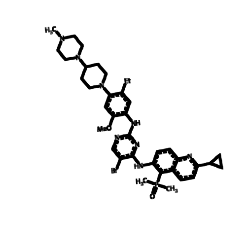 CCc1cc(Nc2ncc(Br)c(Nc3ccc4nc(C5CC5)ccc4c3P(C)(C)=O)n2)c(OC)cc1N1CCC(N2CCN(C)CC2)CC1